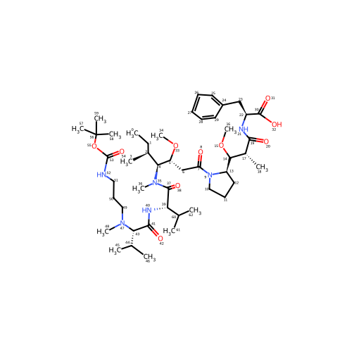 CC[C@H](C)[C@@H]([C@@H](CC(=O)N1CCC[C@@H]1C(OC)[C@@H](C)C(=O)N[C@@H](Cc1ccccc1)C(=O)O)OC)N(C)C(=O)[C@@H](NC(=O)[C@H](C(C)C)N(C)CCCNC(=O)OC(C)(C)C)C(C)C